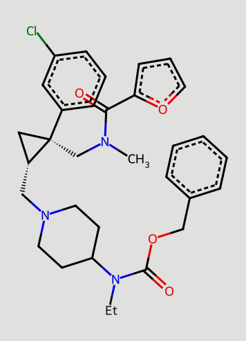 CCN(C(=O)OCc1ccccc1)C1CCN(C[C@@H]2C[C@@]2(CN(C)C(=O)c2ccco2)c2cccc(Cl)c2)CC1